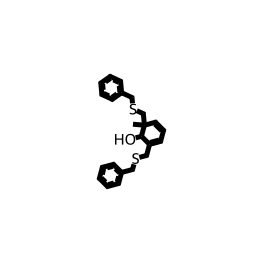 CC1(CSCc2ccccc2)C=CC=C(CSCc2ccccc2)C1O